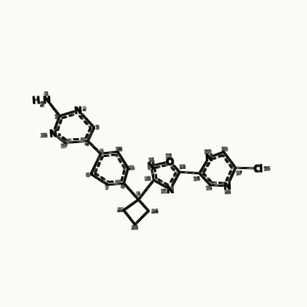 Nc1ncc(-c2ccc(C3(c4noc(-c5cnc(Cl)cn5)n4)CCC3)cc2)cn1